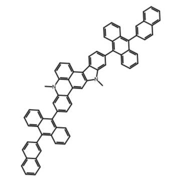 CN1c2cc(-c3c4ccccc4c(-c4ccc5ccccc5c4)c4ccccc34)ccc2-c2cc3c(c4cccc1c24)c1ccc(-c2c4ccccc4c(-c4ccc5ccccc5c4)c4ccccc24)cc1n3C